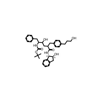 CC(C)(C)OC(=O)NC(Cc1ccccc1)C(O)CC(Cc1ccc(CCCO)cc1)C(=O)N[C@H]1c2ccccc2C[C@@H]1O